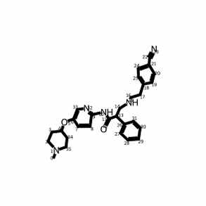 CN1CCC(Oc2ccc(NC(=O)C(CNCCc3ccc(C#N)cc3)c3ccccc3)nc2)CC1